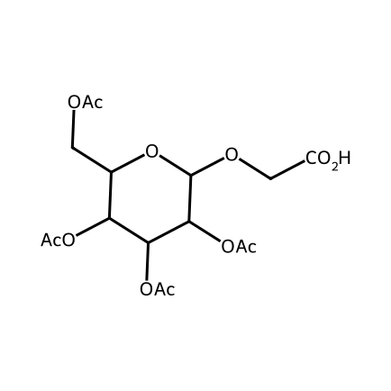 CC(=O)OCC1OC(OCC(=O)O)C(OC(C)=O)C(OC(C)=O)C1OC(C)=O